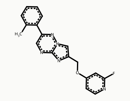 Cc1ccccc1-c1cnc2nc(COc3ccnc(F)c3)cn2n1